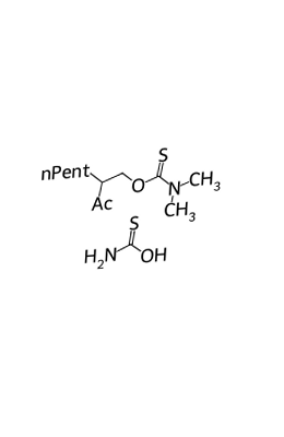 CCCCCC(COC(=S)N(C)C)C(C)=O.NC(O)=S